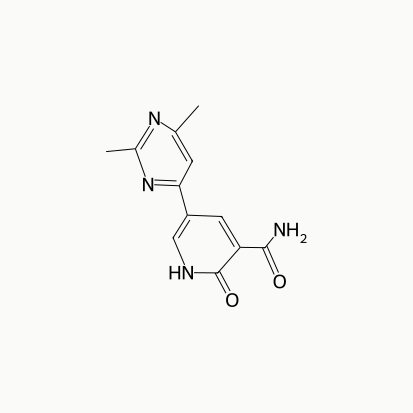 Cc1cc(-c2c[nH]c(=O)c(C(N)=O)c2)nc(C)n1